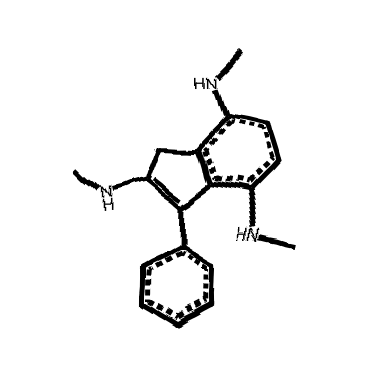 CNC1=C(c2ccccc2)c2c(NC)ccc(NC)c2[CH]1